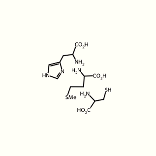 CSCCC(N)C(=O)O.NC(CS)C(=O)O.NC(Cc1c[nH]cn1)C(=O)O